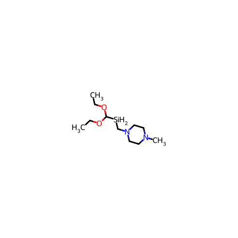 CCOC(OCC)[SiH2]CN1CCN(C)CC1